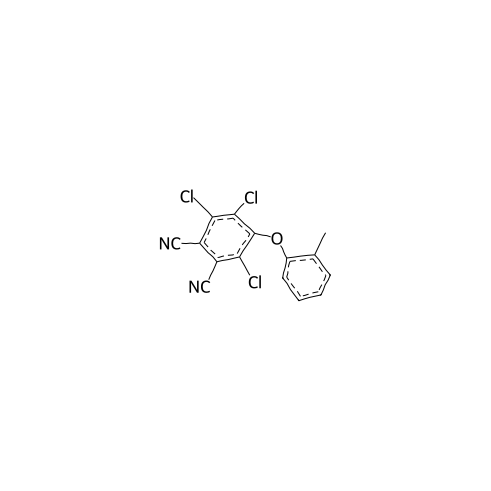 Cc1ccccc1Oc1c(Cl)c(Cl)c(C#N)c(C#N)c1Cl